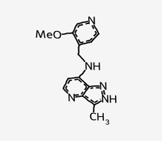 COc1cnccc1CNc1ccnc2c(C)[nH]nc12